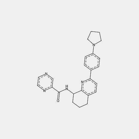 O=C(NC1CCCc2ccc(-c3ccc(N4CCCC4)cc3)nc21)c1cnccn1